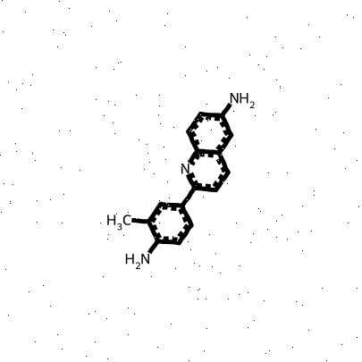 Cc1cc(-c2ccc3cc(N)ccc3n2)ccc1N